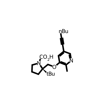 CCCCC#Cc1cnc(C)c(OC[C@]2(C(C)(C)C)CCCN2C(=O)O)c1